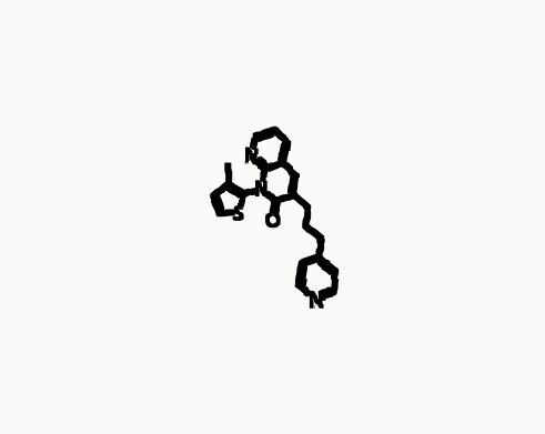 Cc1ccsc1-n1c(=O)c(CCCc2ccncc2)cc2cccnc21